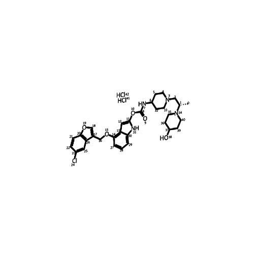 C[C@@H](CN1CCC(NC(=O)Oc2cc3c(OCc4coc5ccc(Cl)cc45)cccc3[nH]2)CC1)N1CCC(O)CC1.Cl.Cl